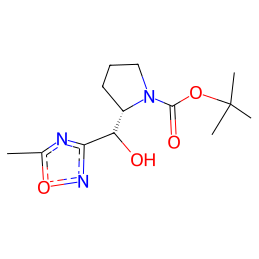 Cc1nc(C(O)[C@@H]2CCCN2C(=O)OC(C)(C)C)no1